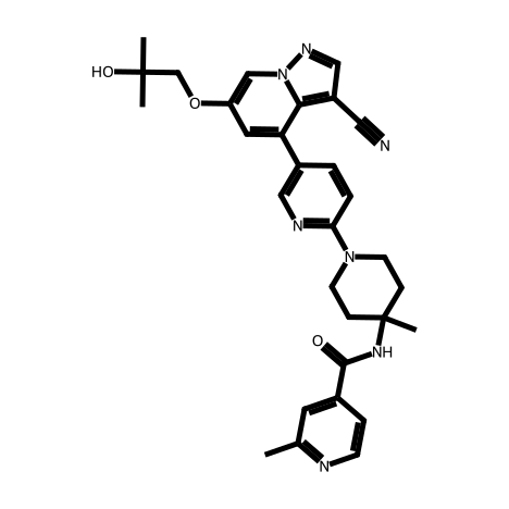 Cc1cc(C(=O)NC2(C)CCN(c3ccc(-c4cc(OCC(C)(C)O)cn5ncc(C#N)c45)cn3)CC2)ccn1